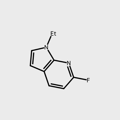 CCn1ccc2ccc(F)nc21